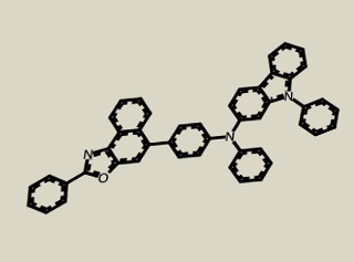 c1ccc(-c2nc3c(cc(-c4ccc(N(c5ccccc5)c5ccc6c7ccccc7n(-c7ccccc7)c6c5)cc4)c4ccccc43)o2)cc1